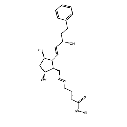 CCNC(=O)CCC/C=C/C[C@@H]1C(/C=C/[C@@H](O)CCc2ccccc2)[C@H](O)C[C@@H]1O